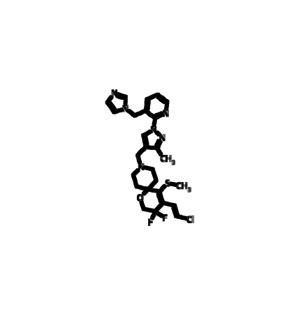 CSC1=C(/C=C/Cl)C(F)(F)COC12CCN(Cc1cn(-c3ncccc3Cn3ccnc3)nc1C)CC2